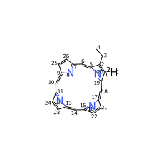 [2H]C1=C(CC)C2=CC3=NC(=CC4=NC(=CC5=NC(=CC1=N2)C=C5)C=C4)C=C3